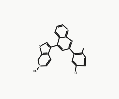 ON1C=Cc2c(-c3cc(-c4cc(Cl)ccc4F)nc4ncccc34)coc2C1